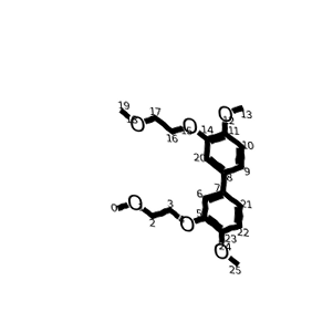 COCCOc1cc(-c2ccc(OC)c(OCCOC)c2)ccc1OC